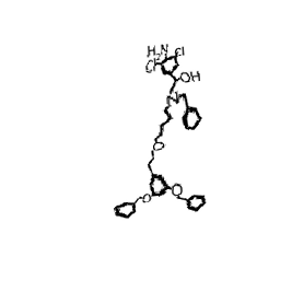 Nc1c(Cl)cc(C(O)CN(CCCCCOCCCc2cc(OCc3ccccc3)cc(OCc3ccccc3)c2)Cc2ccccc2)cc1Cl